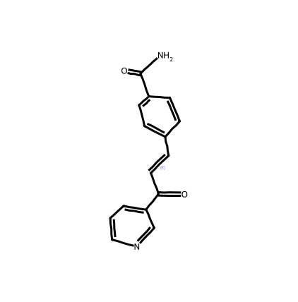 NC(=O)c1ccc(/C=C/C(=O)c2cccnc2)cc1